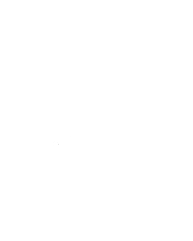 O=C1C=C2CCCCCCCC2C1